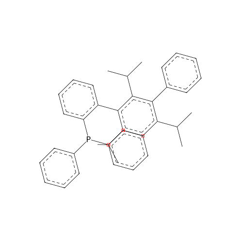 CC(C)c1cc(C(C)C)c(-c2ccccc2P(c2ccccc2)c2ccccc2)c(C(C)C)c1-c1ccccc1